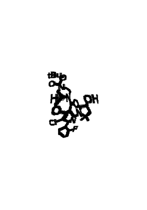 CC(C)(C)OC(=O)N1CCN2C(=O)c3c(N4CC(O)CC4(C)C)nc(-c4ccccc4F)c(Cl)c3OC[C@H]2C1